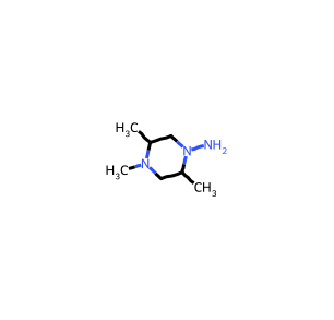 CC1CN(N)C(C)CN1C